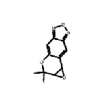 CC1(C)Oc2cc3nonc3cc2C2OC21